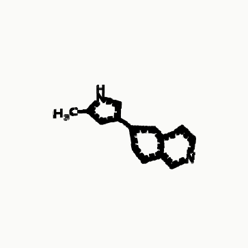 Cc1cc(-c2ccc3cnccc3c2)c[nH]1